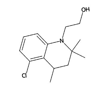 CC1CC(C)(C)N(CCO)c2cccc(Cl)c21